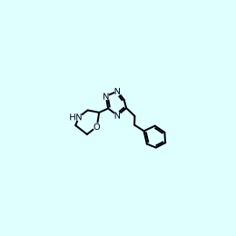 c1ccc(CCc2cnnc(C3CNCCO3)n2)cc1